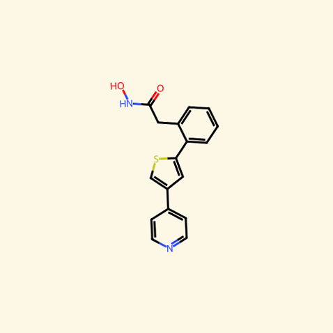 O=C(Cc1ccccc1-c1cc(-c2ccncc2)cs1)NO